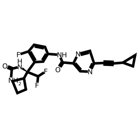 NC(=O)N[C@@](c1cc(NC(=O)c2cnc(C#CC3CC3)cn2)ccc1F)(C(F)F)C1CCC1